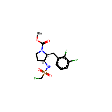 CC(C)(C)OC(=O)N1CC[C@H](NS(=O)(=O)CF)[C@@H]1Cc1cccc(Br)c1F